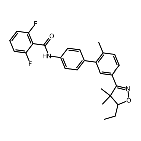 CCC1ON=C(c2ccc(C)c(-c3ccc(NC(=O)c4c(F)cccc4F)cc3)c2)C1(C)C